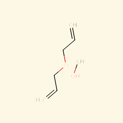 C=CCOCC=C.CO